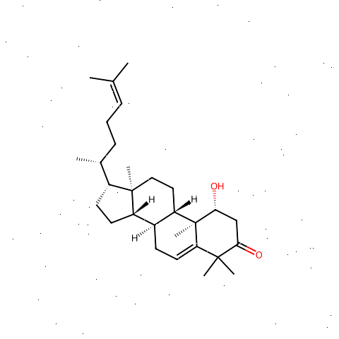 CC(C)=CCC[C@@H](C)[C@H]1CC[C@H]2[C@@H]3CC=C4C(C)(C)C(=O)C[C@@H](O)[C@]4(C)[C@H]3CC[C@]12C